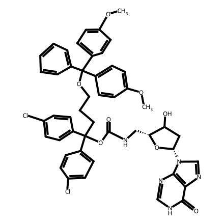 COc1ccc(C(OCCCC(OC(=O)NC[C@H]2O[C@@H](n3cnc4c(=O)[nH]cnc43)CC2O)(c2ccc(Cl)cc2)c2ccc(Cl)cc2)(c2ccccc2)c2ccc(OC)cc2)cc1